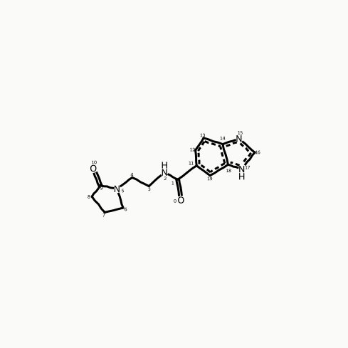 O=C(NCCN1CCCC1=O)c1ccc2nc[nH]c2c1